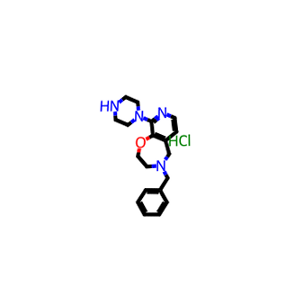 Cl.c1ccc(CN2CCOc3c(ccnc3N3CCNCC3)C2)cc1